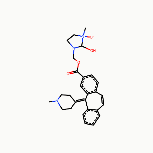 CN1CCC(=C2c3ccccc3C=Cc3ccc(C(=O)OCN4CC[N+](C)([O-])C4O)cc32)CC1